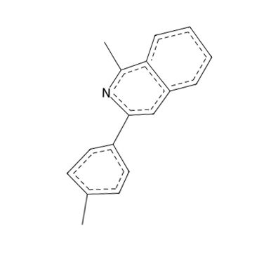 Cc1ccc(-c2cc3ccccc3c(C)n2)cc1